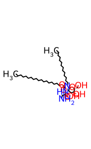 CCCCCCCCCCCCCCCCCCOC(=O)N(CCCCCCCCCCCCCC)[C@@H]1O[C@H](CO)[C@@H](O)[C@H](O)[C@H]1NC(=O)CN